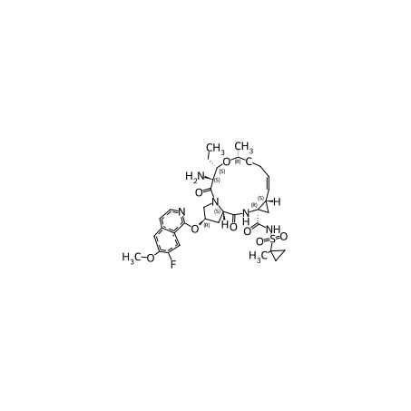 CC[C@@H]1O[C@H](C)CCC=C[C@@H]2C[C@@]2(C(=O)NS(=O)(=O)C2(C)CC2)NC(=O)[C@@H]2C[C@@H](Oc3nccc4cc(OC)c(F)cc34)CN2C(=O)[C@H]1N